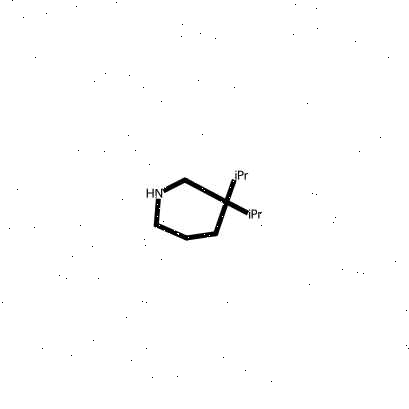 CC(C)C1(C(C)C)CCCNC1